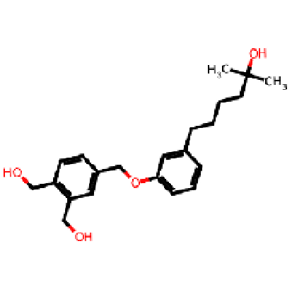 CC(C)(O)CCCCc1cccc(OCc2ccc(CO)c(CO)c2)c1